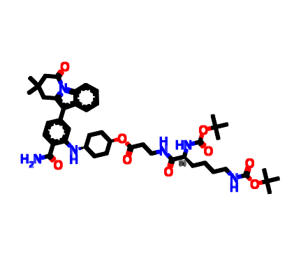 CC1(C)CC(=O)n2c(c(-c3ccc(C(N)=O)c(N[C@H]4CC[C@H](OC(=O)CCNC(=O)[C@H](CCCCNC(=O)OC(C)(C)C)NC(=O)OC(C)(C)C)CC4)c3)c3ccccc32)C1